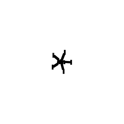 [I][Mn]([I])([I])([I])[I]